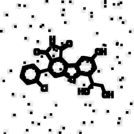 O=C1NC(=O)c2c1c(-c1ccccc1Cl)cc1oc3c(C(O)CO)cc(O)cc3c21